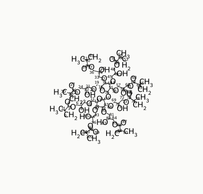 C=C(C)C(=O)OCC(O)COC[C@H]1O[C@H](O[C@H]2O[C@H](COCC(O)COC(=O)C(=C)C)[C@@H](OCC(O)COC(=O)C(=C)C)[C@H](OCC(O)COC(=O)C(=C)C)[C@H]2OCC(O)COC(=O)C(=C)C)[C@H](OCC(O)COC(=O)C(=C)C)[C@@H](OCC(O)COC(=O)C(=C)C)[C@@H]1OCC(O)COC(=O)C(=C)C